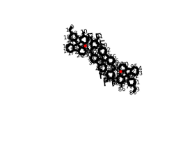 C=Cc1ccc(C2(c3cc(C)ccc3C)C3=C(CCC=C3)c3ccc(N(c4cc(F)c(F)c(F)c4)c4ccc5c(c4)C4(C6=C5C=CCC6)c5ccccc5-c5ccc(N(c6cc(F)c(F)c(F)c6)c6ccc7c(c6)C(c6ccc(C=C)cc6)(c6cc(C)ccc6C)c6ccccc6-7)cc54)cc32)cc1